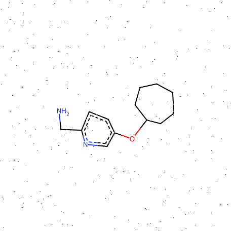 NCc1ccc(OC2CCCCCC2)cn1